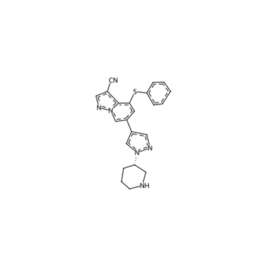 N#Cc1cnn2cc(-c3cnn([C@H]4CCCNC4)c3)cc(Sc3ccccc3)c12